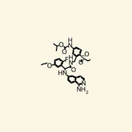 CCOc1ccc(F)c(C(Nc2ccc3c(N)nccc3c2)C(=O)NCc2cc(NC(=O)OC(C)C)ccc2S(=O)(=O)CC)c1